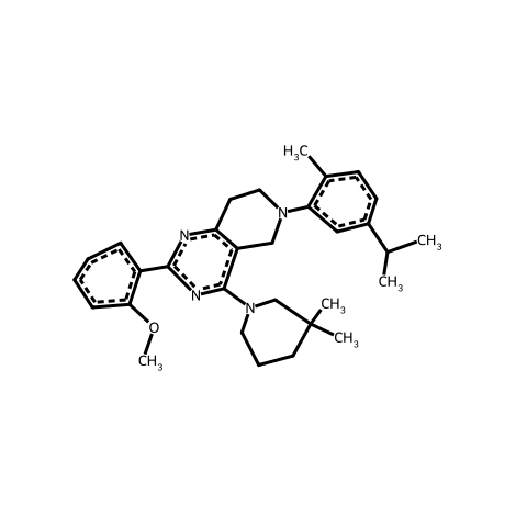 COc1ccccc1-c1nc2c(c(N3CCCC(C)(C)C3)n1)CN(c1cc(C(C)C)ccc1C)CC2